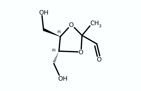 CC1(C=O)O[C@H](CO)[C@@H](CO)O1